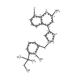 CC(C)(CO)c1cccc(Cn2cc(-c3cc(N)nc4c(F)cccc34)nn2)[n+]1O